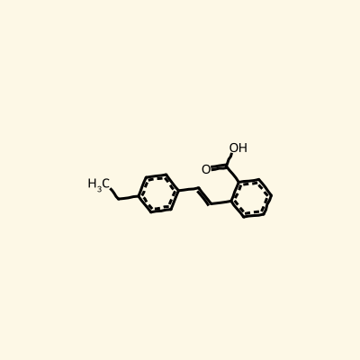 CCc1ccc(/C=C/c2ccccc2C(=O)O)cc1